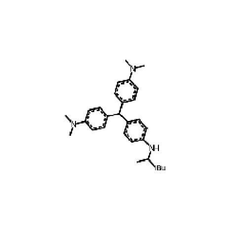 CCC(C)C(C)Nc1ccc(C(c2ccc(N(C)C)cc2)c2ccc(N(C)C)cc2)cc1